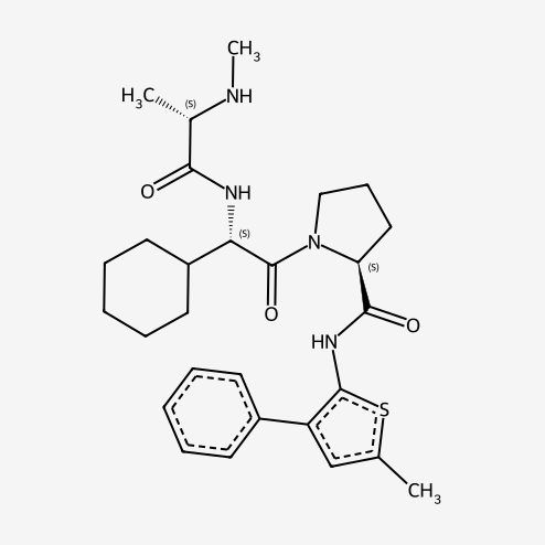 CN[C@@H](C)C(=O)N[C@H](C(=O)N1CCC[C@H]1C(=O)Nc1sc(C)cc1-c1ccccc1)C1CCCCC1